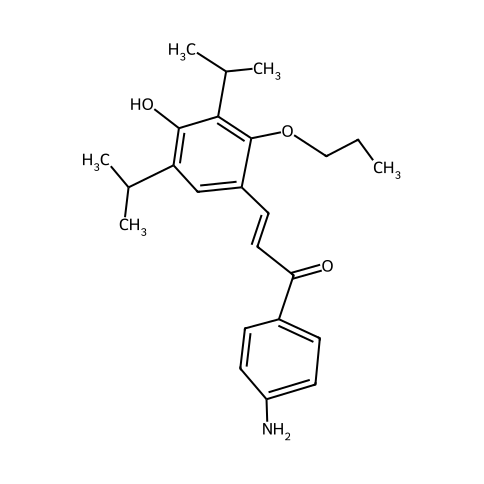 CCCOc1c(C=CC(=O)c2ccc(N)cc2)cc(C(C)C)c(O)c1C(C)C